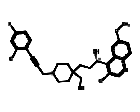 COc1ccc2ncc(Cl)c([C@@H](O)CCC3(CO)CCN(CC#Cc4ccc(F)cc4Cl)CC3)c2c1